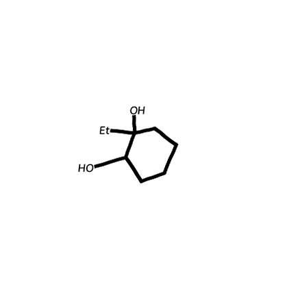 CCC1(O)CCCCC1O